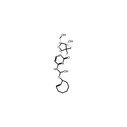 O=c1nc(NC(O)OC2/C=C/CCCCC2)ccn1[C@@H]1O[C@H](CO)[C@H](O)C1(F)F